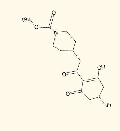 CC(C)C1CC(=O)C(C(=O)CC2CCN(C(=O)OC(C)(C)C)CC2)=C(O)C1